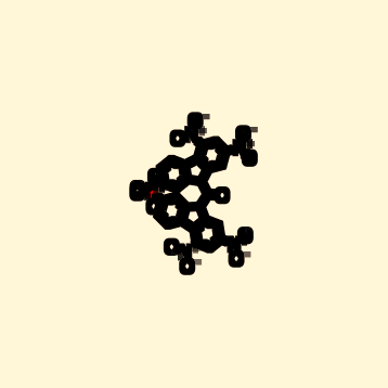 O=C(C1c2cc([N+](=O)[O-])ccc2-c2c1cc([N+](=O)[O-])cc2[N+](=O)[O-])C1c2cc([N+](=O)[O-])ccc2-c2c1cc([N+](=O)[O-])cc2[N+](=O)[O-]